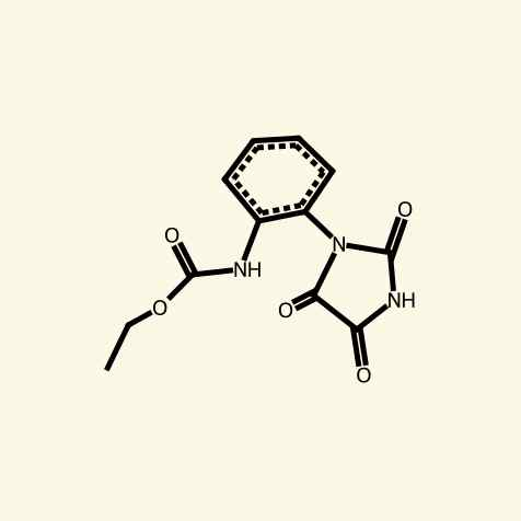 CCOC(=O)Nc1ccccc1N1C(=O)NC(=O)C1=O